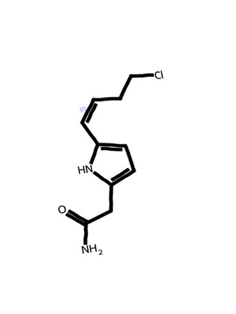 NC(=O)Cc1ccc(/C=C\CCCl)[nH]1